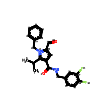 CC(C)c1c(C(=O)NCc2ccc(F)c(F)c2)cc(C=O)n1Cc1ccccc1